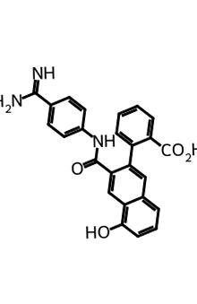 N=C(N)c1ccc(NC(=O)c2cc3c(O)cccc3cc2-c2ccccc2C(=O)O)cc1